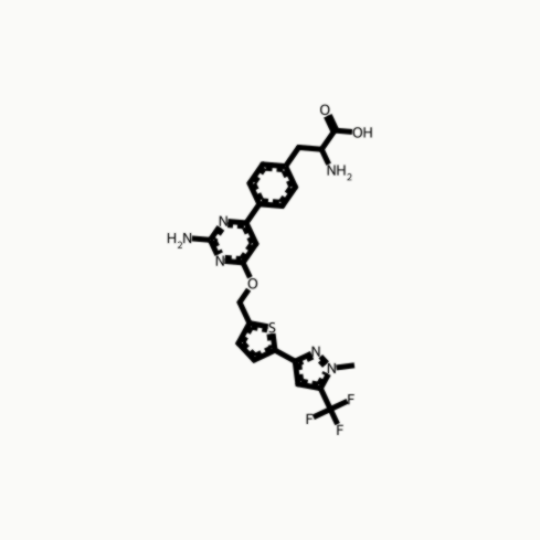 Cn1nc(-c2ccc(COc3cc(-c4ccc(CC(N)C(=O)O)cc4)nc(N)n3)s2)cc1C(F)(F)F